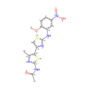 COc1ccc([N+](=O)O)cc1Nc1nc(-c2sc(NC(C)=O)nc2C)cs1